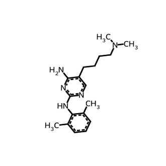 Cc1cccc(C)c1Nc1ncc(CCCCN(C)C)c(N)n1